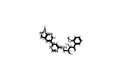 COc1ccccc1C(C)[C@H](C)C(C)CNc1cc(-c2cnc3c(cnn3C)c2)ncn1